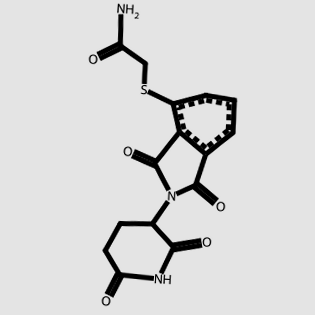 NC(=O)CSc1cccc2c1C(=O)N(C1CCC(=O)NC1=O)C2=O